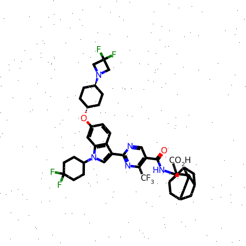 O=C(NC1(C(=O)O)C2CCC3CC(C2)CC1C3)c1cnc(-c2cn(C3CCC(F)(F)CC3)c3cc(O[C@H]4CC[C@H](N5CC(F)(F)C5)CC4)ccc23)nc1C(F)(F)F